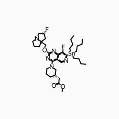 CCC[CH2][Sn]([CH2]CCC)([CH2]CCC)[c]1ncc2c(N3CCC[C@@H](CC(=O)OC)C3)nc(OC[C@@]34CCCN3C[C@H](F)C4)nc2c1F